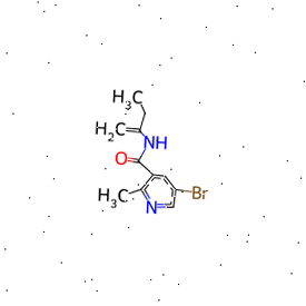 C=C(CC)NC(=O)c1cc(Br)cnc1C